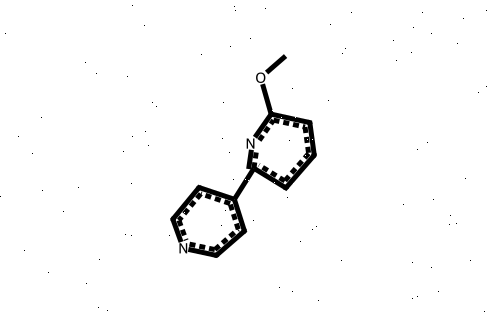 COc1cccc(-c2ccncc2)n1